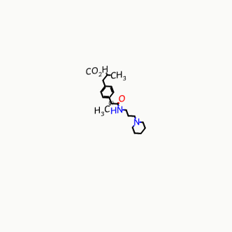 CC(Cc1ccc([C@@H](C)C(=O)NCCCN2CCCCC2)cc1)C(=O)O